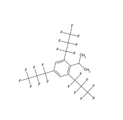 C[C](C)c1c(C(F)(F)C(F)(F)C(F)(F)F)cc(C(F)(F)C(F)(F)C(F)(F)F)cc1C(F)(F)C(F)(F)C(F)(F)F